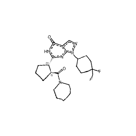 O=C([C@H]1CCC[C@@H]1c1nc2c(cnn2C2CCC(F)(F)CC2)c(=O)[nH]1)N1CCCCC1